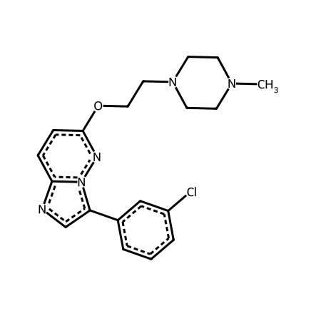 CN1CCN(CCOc2ccc3ncc(-c4cccc(Cl)c4)n3n2)CC1